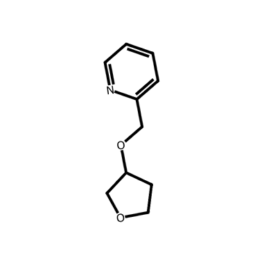 c1ccc(COC2CCOC2)nc1